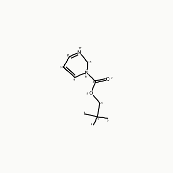 CC(C)(C)COC(=O)N1C=CC=NC1